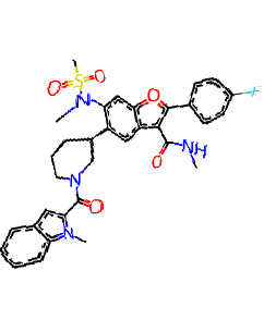 CNC(=O)c1c(-c2ccc(F)cc2)oc2cc(N(C)S(C)(=O)=O)c([C@@H]3CCCN(C(=O)c4cc5ccccc5n4C)C3)cc12